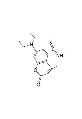 CCN(CC)c1ccc2c(C)cc(=O)oc2c1.N=C=S